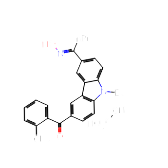 CC(=O)O.CCCC(=NO)c1ccc2c(c1)c1cc(C(=O)c3ccccc3C)ccc1n2CC